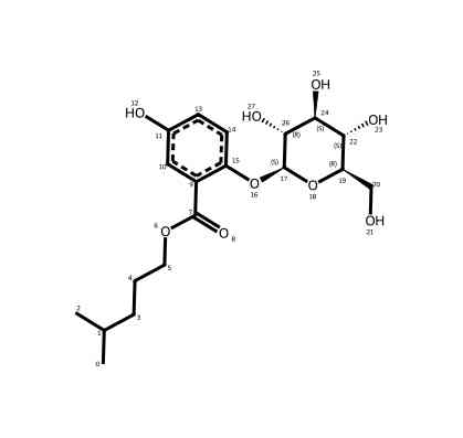 CC(C)CCCOC(=O)c1cc(O)ccc1O[C@@H]1O[C@H](CO)[C@@H](O)[C@H](O)[C@H]1O